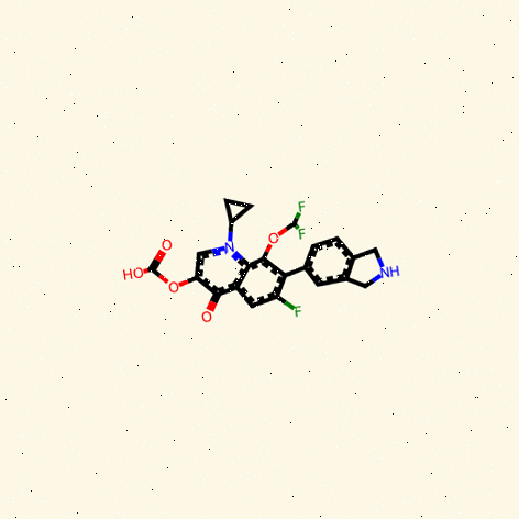 O=C(O)Oc1cn(C2CC2)c2c(OC(F)F)c(-c3ccc4c(c3)CNC4)c(F)cc2c1=O